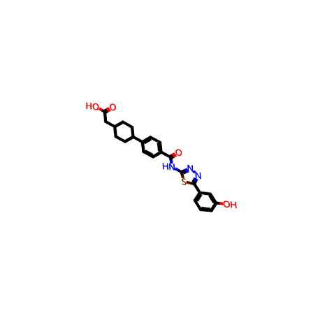 O=C(O)CC1CCC(c2ccc(C(=O)Nc3nnc(-c4cccc(O)c4)s3)cc2)CC1